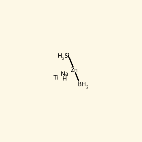 [BH2][Zn][SiH3].[NaH].[Ti]